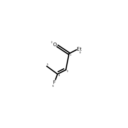 CCC(=O)/C=C(\C)F